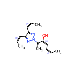 C=C(/C(O)=C\C=C/C)n1nc(/C=C\C)c(/C=C\C)n1